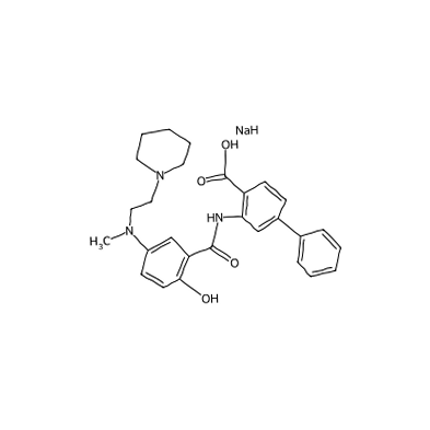 CN(CCN1CCCCC1)c1ccc(O)c(C(=O)Nc2cc(-c3ccccc3)ccc2C(=O)O)c1.[NaH]